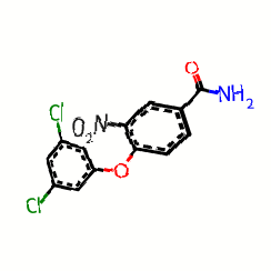 NC(=O)c1ccc(Oc2cc(Cl)cc(Cl)c2)c([N+](=O)[O-])c1